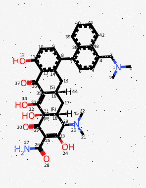 CN(C)Cc1ccc(-c2ccc(O)c3c2C[C@@H]2C[C@@H]4C(N(C)C)C(O)=C(C(N)=O)C(=O)[C@]4(O)C(O)=C2C3=O)c2ccccc12